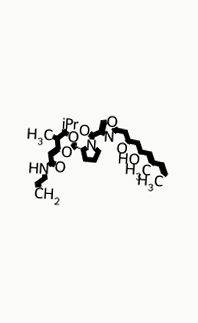 C=CCNC(=O)/C=C/C(C)C(OC(=O)[C@H]1CCCN1C(=O)c1coc(CC(=O)C[C@H](O)/C=C(C)/C=C\C)n1)C(C)C